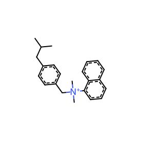 CC(C)Cc1ccc(C[N+](C)(C)c2cccc3ccccc23)cc1